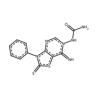 N=c1c2sc(=S)n(-c3ccccc3)c2ncn1NC(N)=O